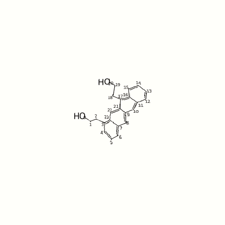 OCCc1cccc2cc3cc4ccccc4c(CCO)c3cc12